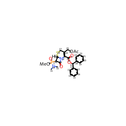 COP(=O)([C@@H]1C(=O)N2C(C(=O)OC(c3ccccc3)c3ccccc3)=C(COC(C)=O)CS[C@H]12)N(C)C